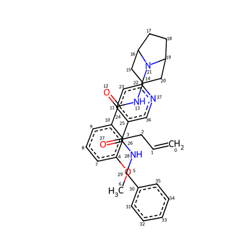 C=CCc1c(OC)cccc1C(=O)NC1CC2CCC(C1)N2c1ccc(C(=O)NCc2ccccc2)cn1